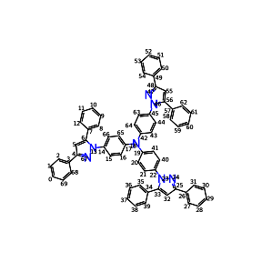 c1ccc(-c2cc(-c3ccccc3)n(-c3ccc(N(c4ccc(-n5nc(-c6ccccc6)cc5-c5ccccc5)cc4)c4ccc(-n5nc(-c6ccccc6)cc5-c5ccccc5)cc4)cc3)n2)cc1